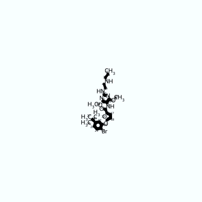 CCCNCCNc1nc(OC)c(NC(=O)c2ccc(Oc3cc(C(C)(C)C)ccc3Br)o2)c(OC)n1